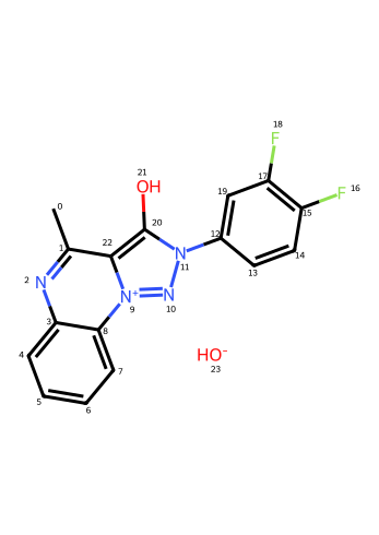 Cc1nc2ccccc2[n+]2nn(-c3ccc(F)c(F)c3)c(O)c12.[OH-]